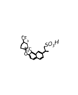 CC(CS(=O)(=O)O)c1ccc2ccc(OC3CCC(C(F)(F)F)CC3)c(C(F)(F)F)c2c1